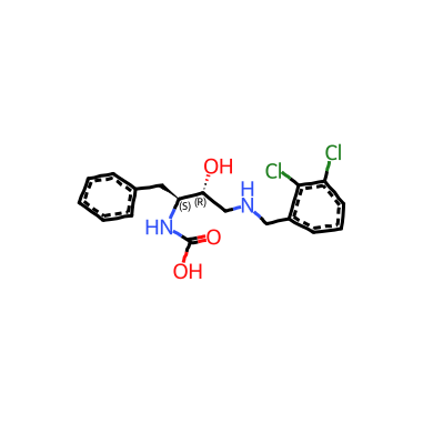 O=C(O)N[C@@H](Cc1ccccc1)[C@H](O)CNCc1cccc(Cl)c1Cl